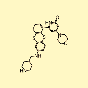 O=c1cc(N2CCOCC2)cc(C2=CCCC3=C2Sc2ccc(NCC4CCNCC4)cc2S3)[nH]1